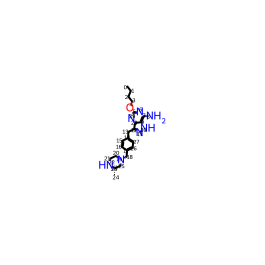 CCCCOc1nc(N)c2[nH]nc(Cc3ccc(CN4CCN[C@@H](C)C4)cc3)c2n1